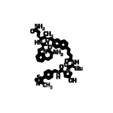 Cc1ncsc1-c1ccc(CNC(=O)[C@@H]2C[C@@H](O)CN2C(=O)[C@@H](NC(=O)CCCc2ccc3cc(CO[C@H](C)[C@H](CCC(N)=O)NC(=O)[C@@H]4Cc5cccc6c5N4C(=O)[C@@H](N)CC6)ccc3c2)C(C)(C)C)cc1